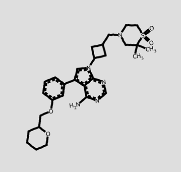 CC1(C)CN(CC2CC(n3cc(-c4cccc(OCC5CCCCO5)c4)c4c(N)ncnc43)C2)CCS1(=O)=O